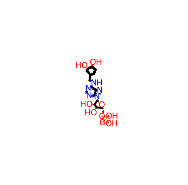 O=P(O)(O)OC[C@H]1O[C@@H](n2cnc3c(NCc4ccc(O)c(O)c4)ncnc32)[C@H](O)[C@@H]1O